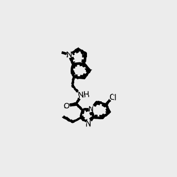 CCc1nc2ccc(Cl)cn2c1C(=O)NCc1ccc2ccn(C)c2c1